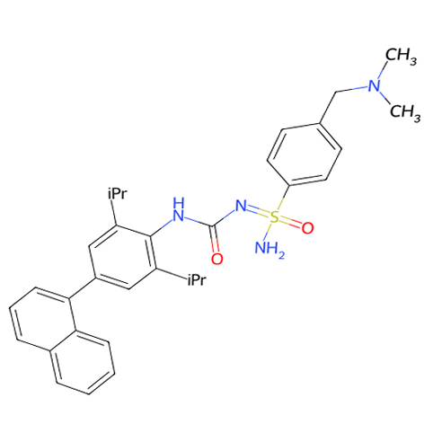 CC(C)c1cc(-c2cccc3ccccc23)cc(C(C)C)c1NC(=O)N=S(N)(=O)c1ccc(CN(C)C)cc1